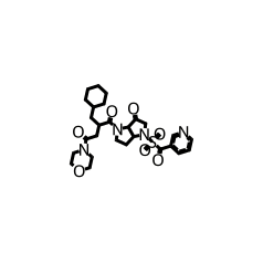 O=C1CN(S(=O)(=O)C(=O)c2cccnc2)C2CCN(C(=O)C(CC(=O)N3CCOCC3)CC3CCCCC3)C12